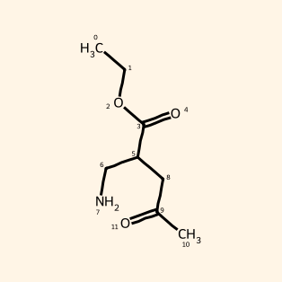 CCOC(=O)C(CN)CC(C)=O